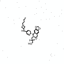 C[C@@H]1Cc2cc3c(cc2[C@@H](C2CC=C(NC4CN(CCCF)C4)C=N2)N1CC(F)(F)CO)OCO3